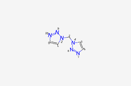 c1cn(Cn2ccnn2)nn1